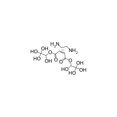 NCCN.O=C(/C=C\C(=O)OC(O)C(O)(O)O)OC(O)C(O)(O)O